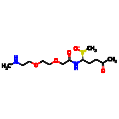 CNCCOCCOCC(=O)NC(CCC(C)=O)[S+](C)[O-]